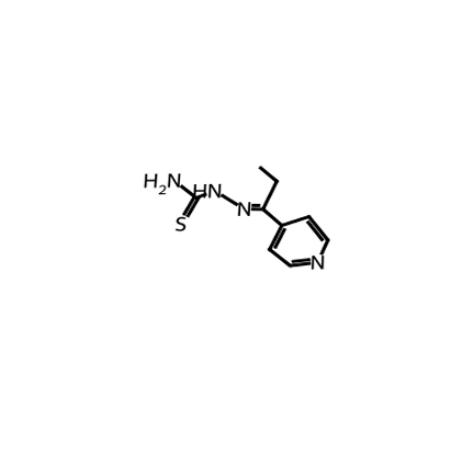 CCC(=NNC(N)=S)c1ccncc1